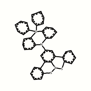 c1ccc(S2(c3ccccc3)c3ccccc3N(c3cc4c5c(c3)-c3ccccc3SB5Sc3ccccc3-4)c3ccccc32)cc1